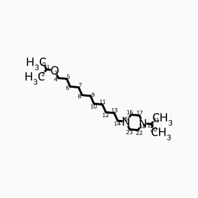 CC(C)OCCCCCCCCCCCN1CCN(C(C)C)CC1